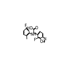 Cc1ccc(F)cc1NC(C(=O)O)c1ccc2ncoc2c1F